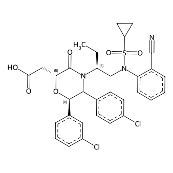 CC[C@@H](CN(c1ccccc1C#N)S(=O)(=O)C1CC1)N1C(=O)[C@@H](CC(=O)O)O[C@H](c2cccc(Cl)c2)C1c1ccc(Cl)cc1